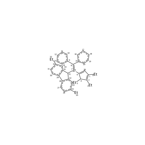 CCC1=C(CC)C(CC)[C]([Zr](=[C](c2ccccc2)c2ccccc2)[CH]2c3cc(CC)ccc3-c3ccc(CC)cc32)=C1